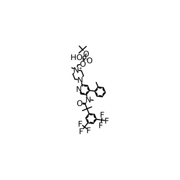 Cc1ccccc1-c1cc(N2CC[N+](C)(COP(=O)(O)OC(C)(C)C)CC2)ncc1N(C)C(=O)C(C)(C)c1cc(C(F)(F)F)cc(C(F)(F)F)c1